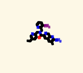 CCc1ccc(CN(Cc2ncccc2P)C(=O)c2cc3cc(C)c(N)nc3cn2)nc1